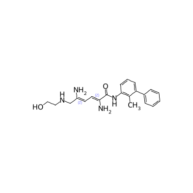 Cc1c(NC(=O)/C(N)=C/C=C(\N)CNCCO)cccc1-c1ccccc1